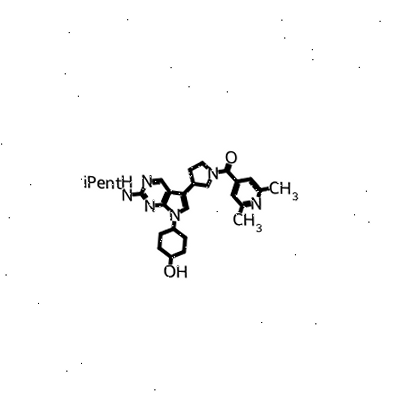 CCCC(C)Nc1ncc2c(C3CCN(C(=O)c4cc(C)nc(C)c4)C3)cn(C3CCC(O)CC3)c2n1